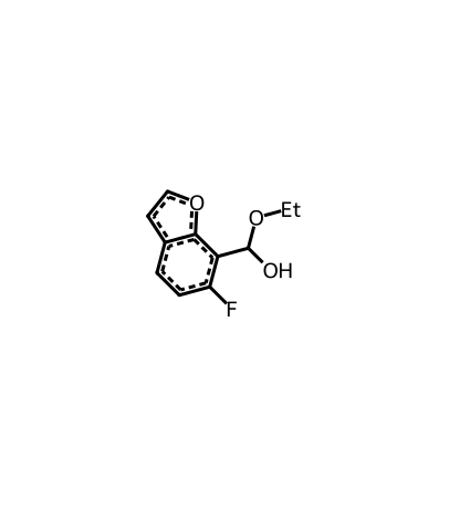 CCOC(O)c1c(F)ccc2ccoc12